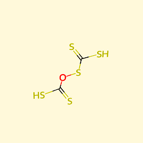 S=C(S)OSC(=S)S